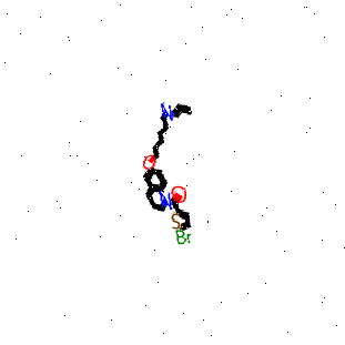 C=CCN(C)CCCCCCOc1ccc2c(c1)CCCN2C(=O)c1ccc(Br)s1